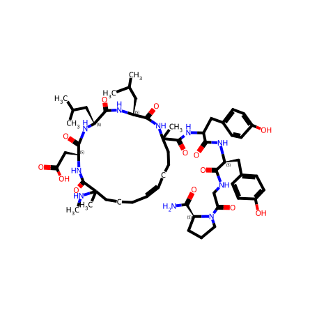 CNC1(C)CCCC=CCCCC(C)(C(=O)NC(Cc2ccc(O)cc2)C(=O)N[C@@H](Cc2ccc(O)cc2)C(=O)NCC(=O)N2CCC[C@H]2C(N)=O)NC(=O)[C@H](CC(C)C)NC(=O)[C@H](CC(C)C)NC(=O)[C@H](CC(=O)O)NC1=O